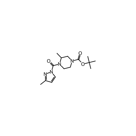 Cc1ccn(C(=O)N2CCN(C(=O)OC(C)(C)C)CC2C)n1